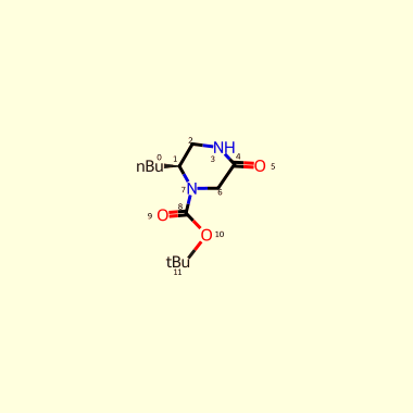 CCCC[C@H]1CNC(=O)CN1C(=O)OC(C)(C)C